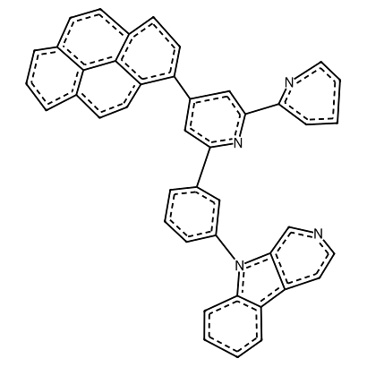 c1ccc(-c2cc(-c3ccc4ccc5cccc6ccc3c4c56)cc(-c3cccc(-n4c5ccccc5c5ccncc54)c3)n2)nc1